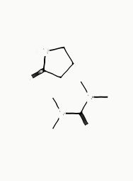 CN(C)C(=O)N(C)C.O=C1CCCN1